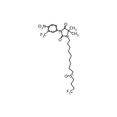 CC1(C)C(=O)N(c2ccc([N+](=O)[O-])c(C(F)(F)F)c2)C(=O)N1CCCCCCCCC[S+]([O-])CCCC(F)(F)F